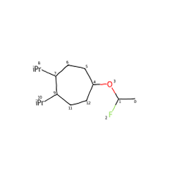 CC(F)OC1CCC(C(C)C)C(C(C)C)CC1